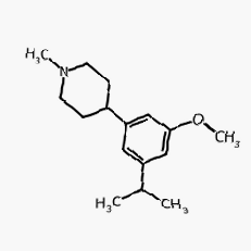 COc1cc(C(C)C)cc(C2CCN(C)CC2)c1